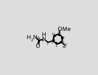 COc1cc(F)cc(CNC(N)=O)c1